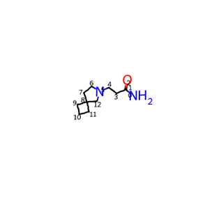 NC(=O)CCN1CCC2(CCC2)C1